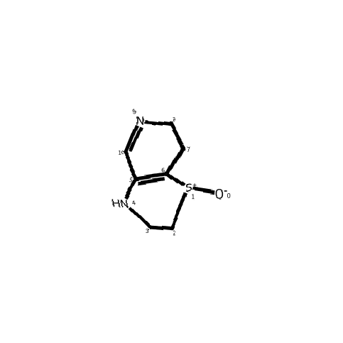 [O-][S+]1CCNC2=C1CCN=C2